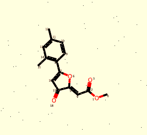 COC(=O)/C=C1\OC(c2ccc(C)cc2C)=CC1=O